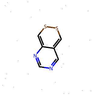 C1=c2cncnc2=CSS1